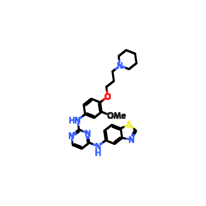 COc1cc(Nc2nccc(Nc3ccc4scnc4c3)n2)ccc1OCCCN1CCCCC1